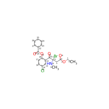 CCOC(=O)CC(Br)(NC)C(=O)c1cc(Cl)ccc1OC(=O)c1ccccc1